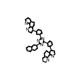 C1=c2ccc3c(-c4cccc(-c5nc(-c6cccc(-c7ccnc8c7ccc7cccnc78)c6)nc(-c6ccc7ccccc7c6)n5)c4)ccnc3c2=NCC1